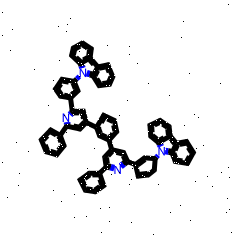 C1=CC(c2cc(-c3cccc(-c4cc(-c5ccccc5)nc(-c5cccc(-n6c7ccccc7c7ccccc76)c5)c4)c3)cc(-c3ccccc3)n2)=CC(n2c3ccccc3c3ccccc32)C1